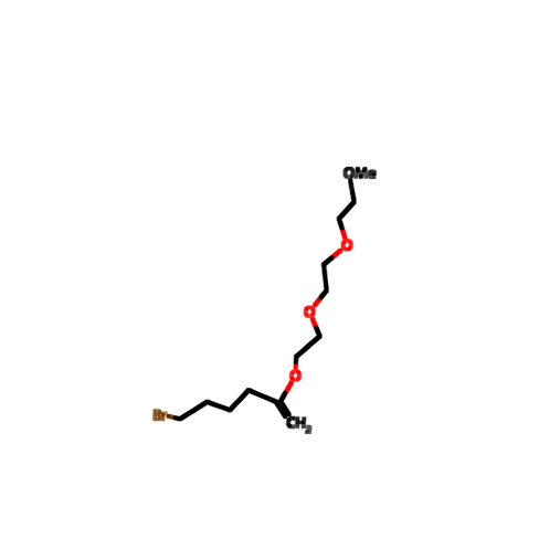 C=C(CCCCBr)OCCOCCOCCOC